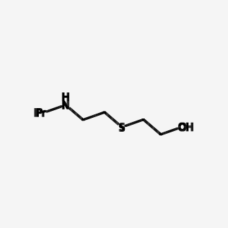 CC(C)NCCSCCO